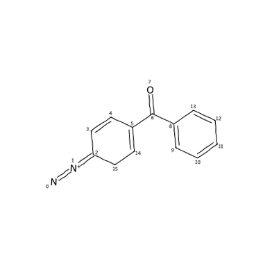 [N-]=[N+]=C1C=CC(C(=O)c2ccccc2)=CC1